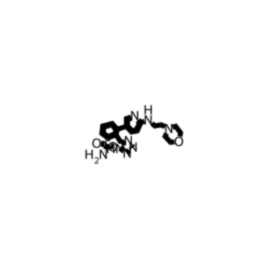 NS(=O)(=O)c1cccc(-c2ccc(NCCN3CCOCC3)nc2)c1-c1nnn[nH]1